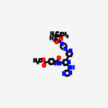 COC(=O)c1ccc(C(=O)Nc2cc(Nc3cnccn3)nc(-c3ccnc(N4CCN(C(=O)OC(C)(C)C)CC4)c3)c2)cc1